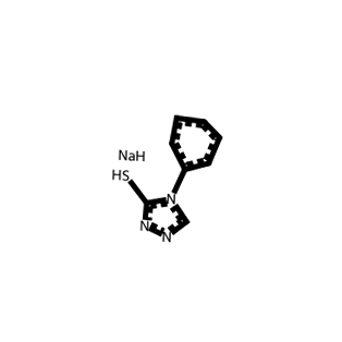 Sc1nncn1-c1ccccc1.[NaH]